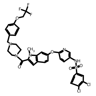 Cn1c(C(=O)N2CCN(Cc3ccc(OCC(F)(F)F)cc3)CC2)cc2ccc(Oc3ccc(NS(=O)(=O)c4ccc(Cl)c(Cl)c4)cn3)cc21